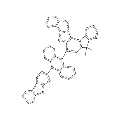 CC1(C)c2ccccc2-c2c1cc(-c1c3ccccc3c(-c3ccc4c(c3)sc3ccccc34)c3ccccc13)c1sc3c4ccccc4ccc3c21